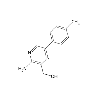 Cc1ccc(-c2cnc(N)c(CO)n2)cc1